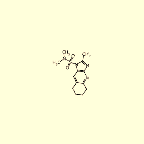 Cc1nc2nc3c(cc2n1S(=O)(=O)N(C)C)CCCC3